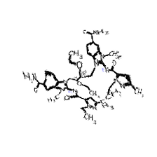 CCO[C@@H](Cn1/c(=N/C(=O)c2cc(C)nn2CC)n(C)c2cc(C(N)=O)ccc21)[C@H](Cn1/c(=N/C(=O)c2cc(C)nn2CC)n(C)c2cc(C(N)=O)ccc21)OCC